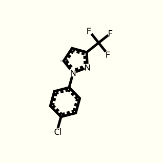 FC(F)(F)c1c[c]n(-c2ccc(Cl)cc2)n1